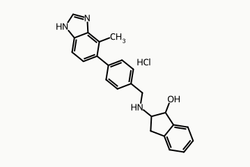 Cc1c(-c2ccc(CNC3Cc4ccccc4C3O)cc2)ccc2[nH]cnc12.Cl